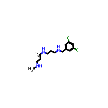 BNCC[C@H](C)NCCCNCc1cc(Cl)cc(Cl)c1